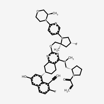 C#Cc1c(F)ccc2cc(O)cc([C@H]3CCc4c(nc(OC[C@]5(C)C[C@@H](F)CN5c5ccc(N6CCOC[C@H]6C)nc5)nc4N(C)C[C@@H]4CCCN4C(=O)C=C)C3)c12